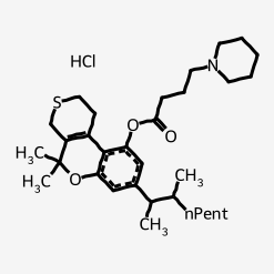 CCCCCC(C)C(C)c1cc(OC(=O)CCCN2CCCCC2)c2c(c1)OC(C)(C)C1=C2CCSC1.Cl